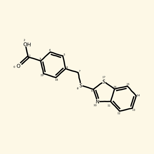 O=C(O)c1ccc(CSc2nc3ccccc3s2)cc1